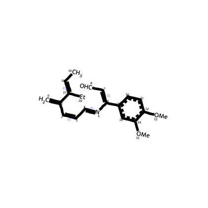 C=C(\C=C/C=N/C(=C\C=O)c1ccc(OC)c(OC)c1)/C(=C/C)CC